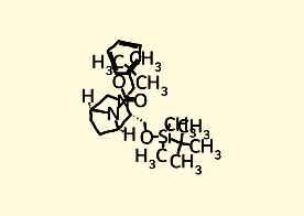 CC(C)(C)OC(=O)N1[C@H]2CC[C@@H]1[C@@H](CO[Si](C)(C)C(C)(C)C)N(Cc1ccccc1)C2